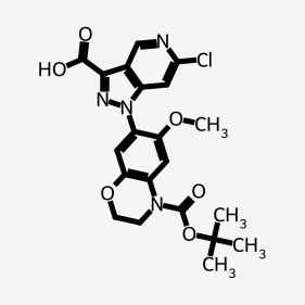 COc1cc2c(cc1-n1nc(C(=O)O)c3cnc(Cl)cc31)OCCN2C(=O)OC(C)(C)C